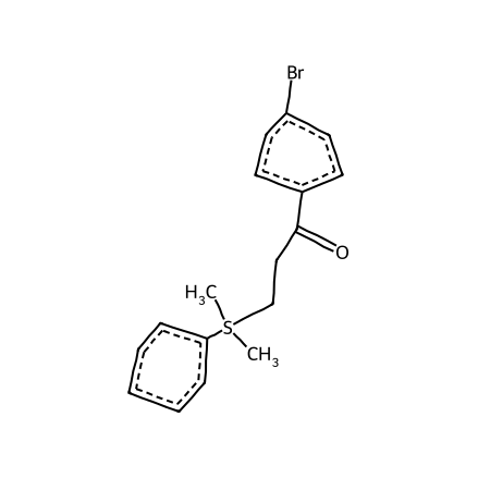 CS(C)(CCC(=O)c1ccc(Br)cc1)c1ccccc1